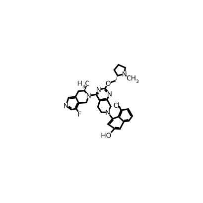 C[C@@H]1Cc2cncc(F)c2CN1c1nc(OC[C@@H]2CCCN2C)nc2c1CCN(c1cc(O)cc3cccc(Cl)c13)C2